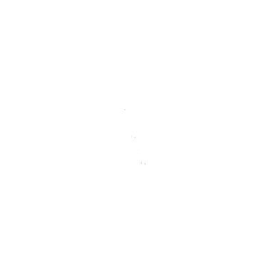 CC(C)(C)c1cccc(C(C)(C)C)c1OP(O)c1ccc(-c2cccc(P(O)O)c2)cc1